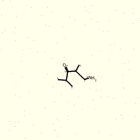 CC(C)C(=O)C(C)CN